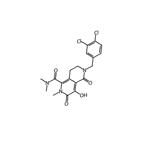 CN(C)C(=O)c1c2c(c(O)c(=O)n1C)C(=O)N(Cc1ccc(Cl)c(Cl)c1)CC2